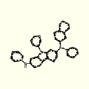 c1ccc(Nc2ccc3c4ccc(N(c5ccccc5)c5ccc6ccccc6c5)cc4n(-c4ccccc4)c3c2)cc1